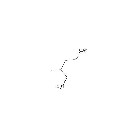 CC(=O)OCCC(C)C[N+](=O)[O-]